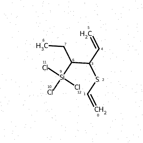 C=CSC(C=C)C(CC)[Si](Cl)(Cl)Cl